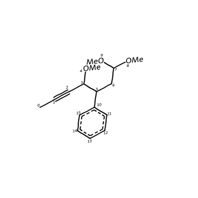 CC#CC(OC)C(CC(OC)OC)c1ccccc1